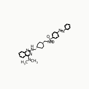 CN(C)c1nc(NC[C@H]2CC[C@H](CNS(=O)(=O)c3ccc(/N=N/c4ccccc4)cc3)CC2)nc2ccccc12